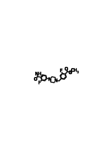 COC(=O)c1ccc(CN2CCN(c3ccc(C(N)=O)c(F)c3)CC2)cc1F